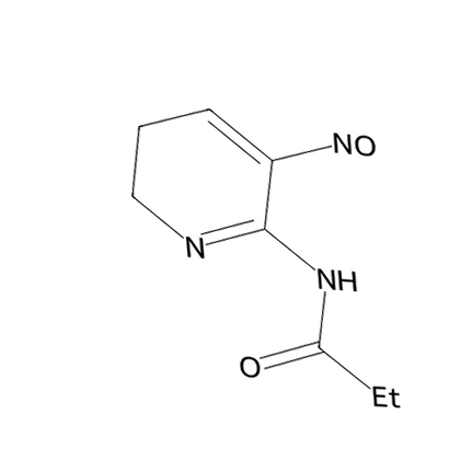 CCC(=O)NC1=NCCC=C1N=O